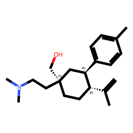 C=C(C)[C@@H]1CC[C@@](CO)(CCN(C)C)C[C@H]1c1ccc(C)cc1